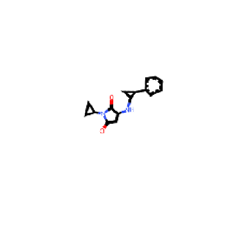 O=C1CC(NC2CC2c2ccccc2)C(=O)N1C1CC1